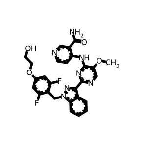 COc1cnc(-c2nn(Cc3c(F)cc(OCCO)cc3F)c3ccccc23)nc1Nc1ccncc1C(N)=O